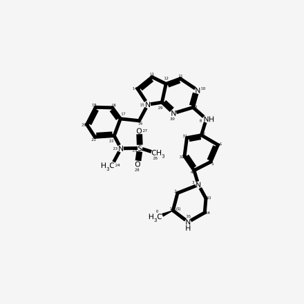 C[C@H]1CN(c2ccc(Nc3ncc4ccn(Cc5ccccc5N(C)S(C)(=O)=O)c4n3)cc2)CCN1